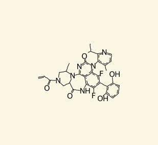 C=CC(=O)N1CC(C)N2c3nc(=O)n(-c4c(C)ccnc4C(C)C)c4c(F)c(-c5c(O)cccc5O)c(F)c(c34)NC(=O)C2C1